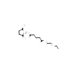 CCOCCOC(=O)CCCC(=O)ON1C(=O)CCC1=O